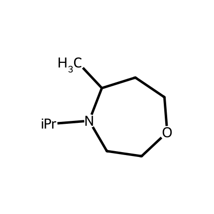 CC(C)N1CCOCCC1C